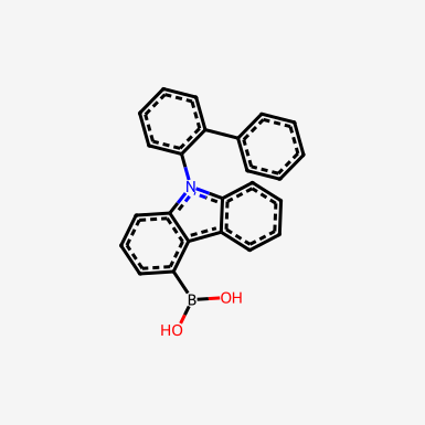 OB(O)c1cccc2c1c1ccccc1n2-c1ccccc1-c1ccccc1